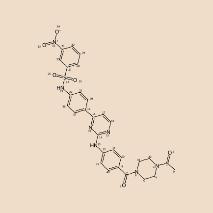 CC(=O)N1CCN(C(=O)c2ccc(Nc3nccc(-c4ccc(NS(=O)(=O)c5cccc([N+](=O)[O-])c5)cc4)n3)cc2)CC1